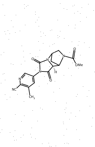 COC(=O)N1CC2CC1[C@H]1C(=O)N(c3cnc(C#N)c(C)c3)C(=O)N21